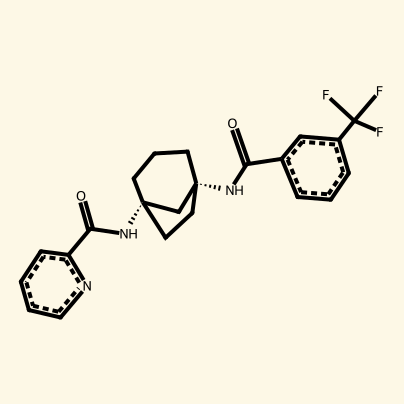 O=C(N[C@]12CCC[C@](NC(=O)c3ccccn3)(CC1)C2)c1cccc(C(F)(F)F)c1